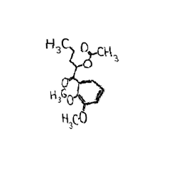 CCCC(OC(C)=O)C(=O)c1cccc(OC)c1OC